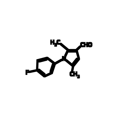 Cc1cc(C=O)c(C)n1-c1ccc(F)cc1